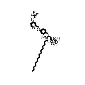 CCCCCCCCCCCCCCCC(=O)N[C@@H](/C=C/P(=O)(O)O)Cc1ccc(OCc2cc(OCC(F)(F)F)ccn2)cc1